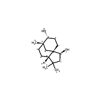 CC1(C)C[C@H](O)[C@]23CC[C@@H](O)[C@@](C)(CC[C@@H]12)C3